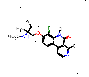 Cc1nccc2c1c(=O)n(C)c1c(F)c(OCC(C)(CC(C)C)NC(=O)O)ccc21